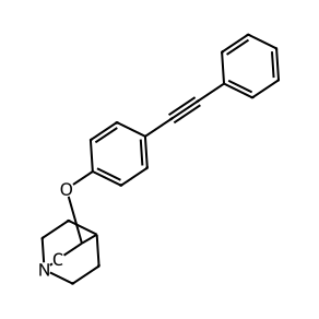 C(#Cc1ccc(OC2CN3CCC2CC3)cc1)c1ccccc1